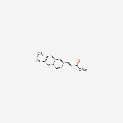 C/C=C\c1ccc2cc(C=CC(=O)OC)ccc2c1